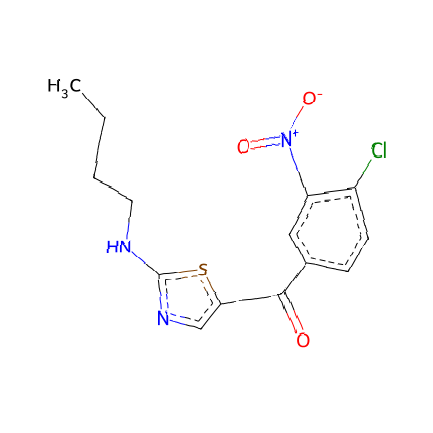 CCCCNc1ncc(C(=O)c2ccc(Cl)c([N+](=O)[O-])c2)s1